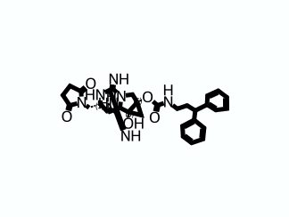 N=C1NC2[C@H](CN3C(=O)CCC3=O)NC(=N)N3C[C@@]4(OC(=O)NCCC(c5ccccc5)c5ccccc5)C[C@]4(O)C23N1